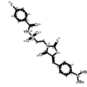 CCCCN(CCCC)c1ccc(/C=C2\SC(=S)N(CCS(=O)(=O)NC(=O)c3ccc(F)cc3)C2=O)cc1